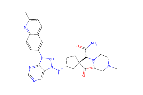 Cc1ccc2cc(N3NN(N[C@@H]4CC[C@@](C(=O)O)(C(C(N)=O)N5CCN(C)CC5)C4)c4cncnc43)ccc2n1